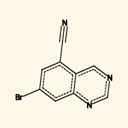 N#Cc1cc(Br)cc2ncncc12